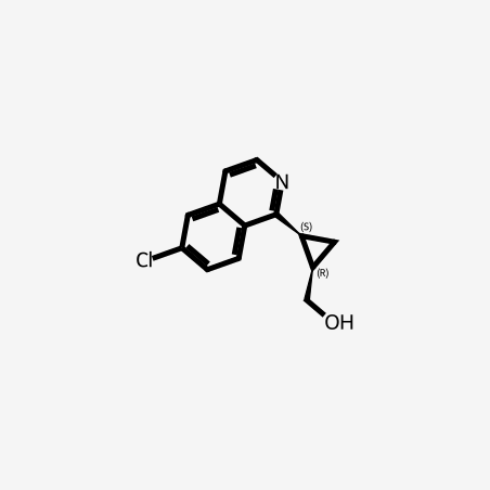 OC[C@@H]1C[C@@H]1c1nccc2cc(Cl)ccc12